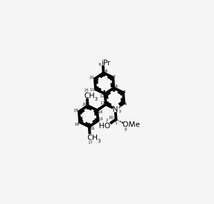 CO[C@H](O)[n+]1ccc2cc(C(C)C)ccc2c1-c1cc(C)ccc1C